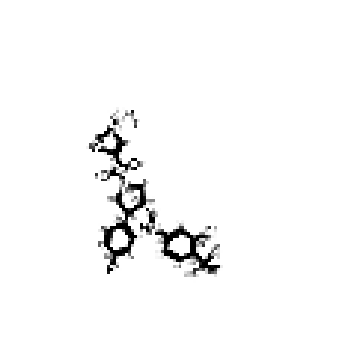 Cn1cnc(S(=O)(=O)N2C[C@H](CNc3ccc(C(F)(F)F)c(Cl)c3)[C@@H](c3ccc(F)cc3)C2)c1